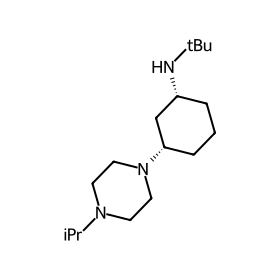 CC(C)N1CCN([C@H]2CCC[C@@H](NC(C)(C)C)C2)CC1